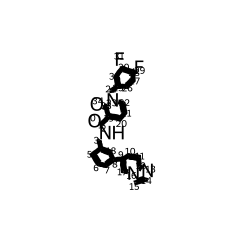 O=C(NCc1cccc(-c2ccc3nccn3c2)c1)c1cccn(Cc2ccc(F)c(F)c2)c1=O